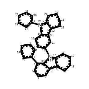 c1ccc(-c2cccc3c4ccccc4n(-c4ccc5c(c4)c4ccccc4n5-c4ccccc4)c23)cc1